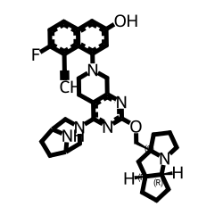 C#Cc1c(F)ccc2cc(O)cc(N3CCc4c(nc(OC[C@@]56CCCN5[C@@H]5CCC[C@@H]5C6)nc4N4CC5CCC(C4)N5)C3)c12